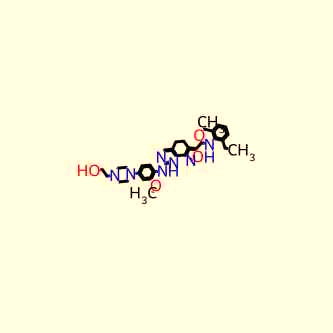 CCc1cccc(CC)c1NC(=O)c1onc2c1CCc1cnc(Nc3ccc(N4CCN(CCO)CC4)cc3OC)nc1-2